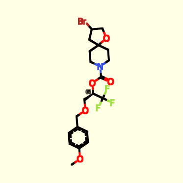 COc1ccc(COC[C@@H](OC(=O)N2CCC3(CC2)CC(Br)CO3)C(F)(F)F)cc1